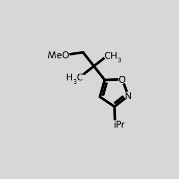 COCC(C)(C)c1cc(C(C)C)no1